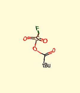 CC(C)(C)C(=O)OS(=O)(=O)F